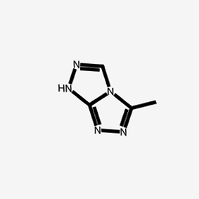 Cc1nnc2[nH]ncn12